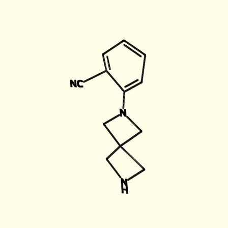 N#Cc1ccccc1N1CC2(CNC2)C1